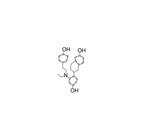 CCN(CCc1ccc(O)cc1)c1cc(O)ccc1C1CCc2cc(O)ccc2C1